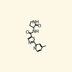 Cc1ccnc(-c2ncc(C(=O)NC3CCNC3=O)s2)c1